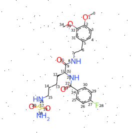 COc1ccc(CCNC(=O)[C@H](CCCCNS(N)(=O)=O)NC(=O)c2ccc(F)cc2)cc1OC